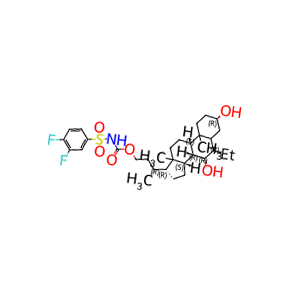 CC[C@@H]1C2C[C@H](O)CCC2(C)[C@H]2CCC3(C)[C@@H]([C@H](C)CCOC(=O)NS(=O)(=O)c4ccc(F)c(F)c4)CC[C@H]3[C@H]2[C@@H]1O